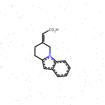 O=C(O)C=C1CCc2cc3ccccc3n2C1